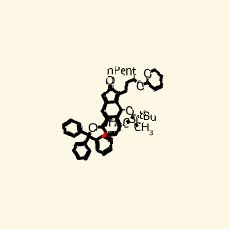 CCCCC[C@@H](CCC1=C2C(CC1=O)Cc1c(OC(c3ccccc3)(c3ccccc3)c3ccccc3)cccc1[C@H]2O[Si](C)(C)C(C)(C)C)OC1CCCCO1